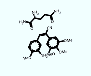 COc1ccc(C=C(C#N)c2cc(OC)c(OC)c(OC)c2)cc1N.NC(=O)CC[C@H](N)C(N)=O